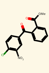 COC(=O)c1ccccc1C(=O)c1ccc(Cl)c([N+](=O)[O-])c1